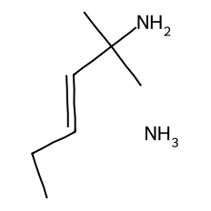 CCC=CC(C)(C)N.N